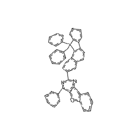 c1ccc(-c2nc(-c3ccc4c5c(ccc4c3)-c3ccccc3C5(c3ccccc3)c3ccccc3)nc3c2oc2ccccc23)cc1